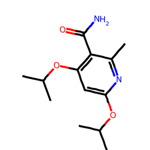 Cc1nc(OC(C)C)cc(OC(C)C)c1C(N)=O